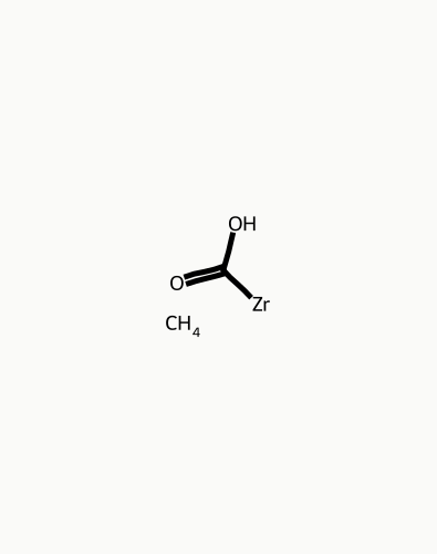 C.O=[C](O)[Zr]